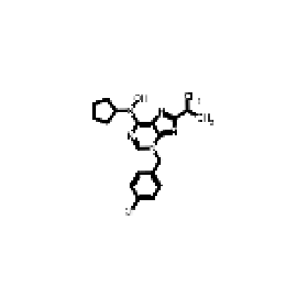 CC(C)c1nc2c(N(O)C3CCCC3)ncn(Cc3ccc(Cl)cc3)c-2n1